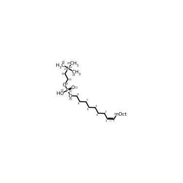 CCCCCCCC/C=C\CCCCCCCOP(=O)(O)OCC[N+](C)(C)C